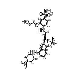 CN(C)C1CCC(Nc2cccc3c(CC(F)(F)F)c(C#CCNc4ccc(S(N)(=O)=O)cc4OCCO)sc23)CC1